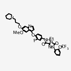 CCn1c(C(=O)Nc2ccc(Oc3ccnc4cc(OCCCN5CCCCC5)c(OC)cc34)c(F)c2)nn(-c2ccccc2OC(F)(F)F)c1=O